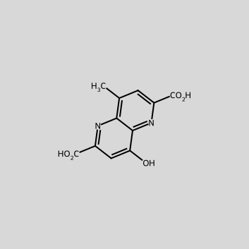 Cc1cc(C(=O)O)nc2c(O)cc(C(=O)O)nc12